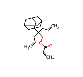 C=CCC(CC=C)(COC(=O)C=C)C12CC3CC(CC(C3)C1)C2